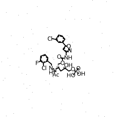 CC(=O)N(NCc1cccc(F)c1Cl)[C@H](COC(=O)Nc1cc(-c2cccc(Cl)c2)on1)C[C@@H](O)COP(=O)(O)O